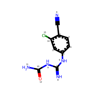 N#Cc1ccc(NC(=N)NC(N)=O)cc1Cl